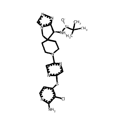 CC(C)(C)[S@@+]([O-])N[C@@H]1c2nncn2CC12CCN(c1cnc(Sc3ccnc(N)c3Cl)cn1)CC2